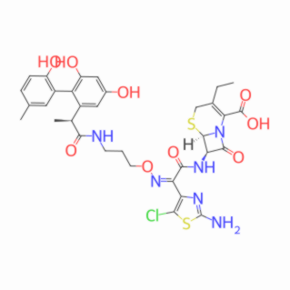 CCC1=C(C(=O)O)N2C(=O)[C@@H](NC(=O)/C(=N\OCCCNC(=O)[C@@H](C)c3cc(O)cc(O)c3-c3cc(C)ccc3O)c3nc(N)sc3Cl)[C@H]2SC1